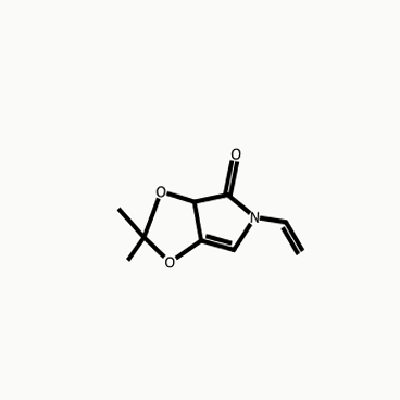 C=CN1C=C2OC(C)(C)OC2C1=O